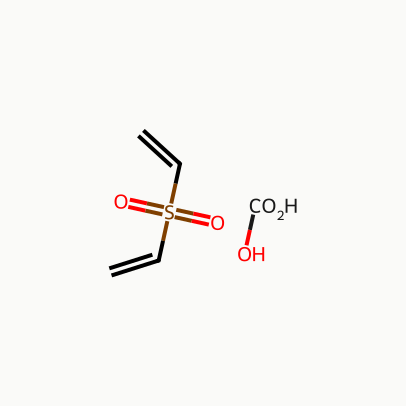 C=CS(=O)(=O)C=C.O=C(O)O